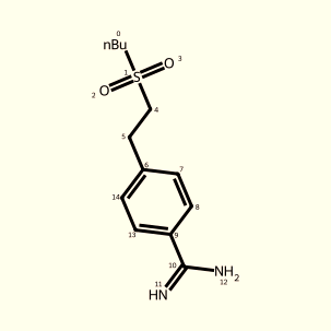 CCCCS(=O)(=O)CCc1ccc(C(=N)N)cc1